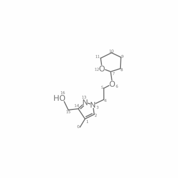 Cc1cn(CCOC2CCCCO2)nc1CO